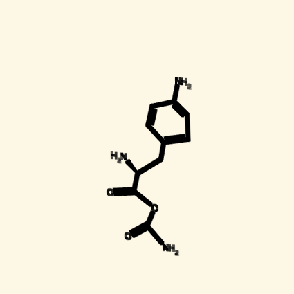 NC(=O)OC(=O)[C@@H](N)Cc1ccc(N)cc1